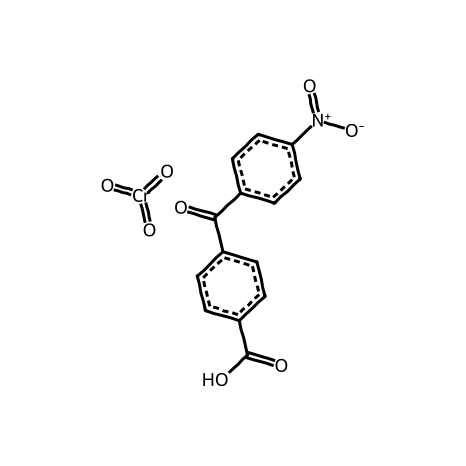 O=C(O)c1ccc(C(=O)c2ccc([N+](=O)[O-])cc2)cc1.[O]=[Cr](=[O])=[O]